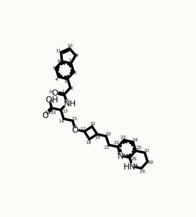 O=C(Cc1ccc2c(c1)CC=C2)NC(CCOC1CC(CCc2ccc3c(n2)NCCC3)C1)C(=O)O